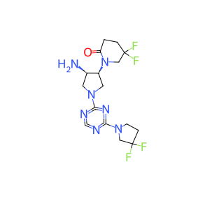 N[C@@H]1CN(c2ncnc(N3CCC(F)(F)C3)n2)C[C@@H]1N1CC(F)(F)CCC1=O